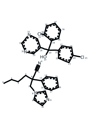 CCCCC(C#N)(Cn1ccnc1)c1ccccc1.OC(c1ccc(Cl)cc1)(c1cncnc1)c1ccccc1Cl